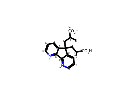 CC(CC1(CC(C)C(=O)O)c2cccnc2-c2ncccc21)C(=O)O